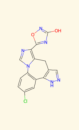 Oc1noc(-c2ncn3c2Cc2cn[nH]c2-c2cc(Cl)ccc2-3)n1